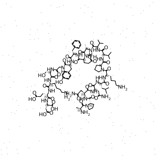 CC(C)C[C@H](NC(=O)[C@H](CC(N)=O)NC(=O)[C@H](CC(N)=O)NC(=O)[C@@H]1CCCN1C(=O)[C@H](C)N)C(=O)N[C@@H](CCCCN)C(=O)N1CCC[C@H]1C(=O)N[C@H](C(=O)N[C@H](C(=O)N[C@@H](C)C(=O)N[C@@H](CCC(=O)O)C(=O)N[C@@H](Cc1ccccc1)C(=O)N[C@@H](Cc1ccc(O)cc1)C(=O)NCC(=O)N[C@@H](CO)C(=O)N[C@@H](CCCCN)C(=O)N[C@@H](CCC(=O)O)C(=O)N[C@@H](CC(=O)O)C(=O)O)C(C)C)C(C)C